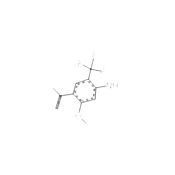 C=C(C)c1cc(C(F)(F)F)c(N)cc1OC